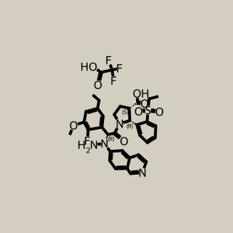 CCc1cc(OC)c(F)c([C@H](C(=O)N2CC[C@H](C(=O)O)[C@@H]2c2ccccc2S(=O)(=O)CC)N(N)c2ccc3cnccc3c2)c1.O=C(O)C(F)(F)F